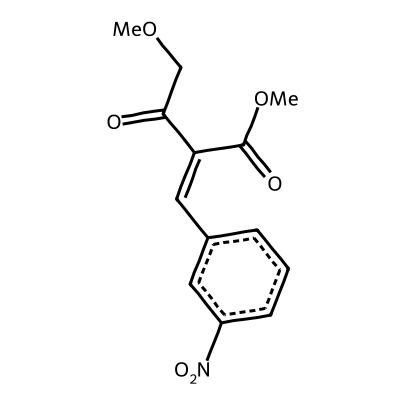 COCC(=O)C(=Cc1cccc([N+](=O)[O-])c1)C(=O)OC